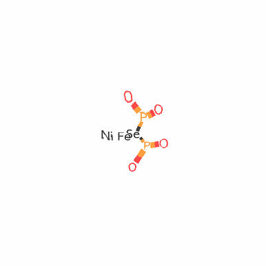 O=P(=O)[Se]P(=O)=O.[Fe].[Ni]